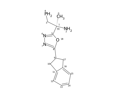 C[C@@](N)(CP)c1nnc(C2Cc3ccccc3C2)o1